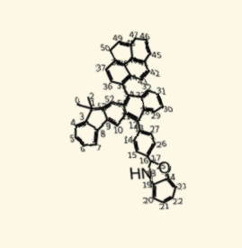 CC1(C)c2ccccc2-c2cc3c(-c4ccc(C5Nc6ccccc6O5)cc4)c4ccccc4c(-c4ccc5c6c7c(ccc46)C=CCC7=CC5)c3cc21